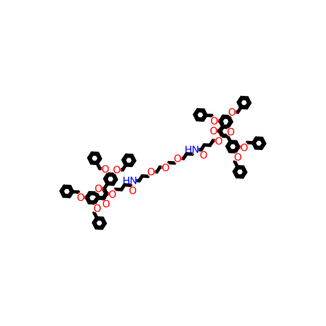 O=C(CCCOc1c(-c2ccc(OCc3ccccc3)c(OCc3ccccc3)c2)oc2cc(OCc3ccccc3)cc(OCc3ccccc3)c2c1=O)NCCCOCCOCCOCCCNC(=O)CCCOc1c(-c2ccc(OCc3ccccc3)c(OCc3ccccc3)c2)oc2cc(OCc3ccccc3)cc(OCc3ccccc3)c2c1=O